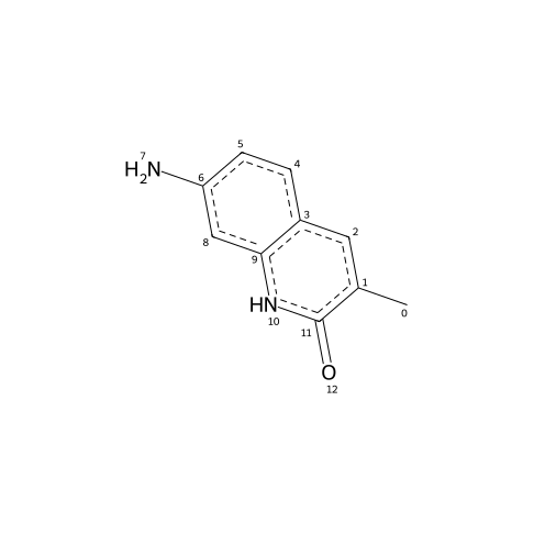 Cc1cc2ccc(N)cc2[nH]c1=O